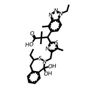 CCC1Cc2ccccc2C(O)(O)N(Cc2nc(C(c3ccc4c(nnn4CC)c3C)C(C)(C)C(=O)O)sc2C)S1